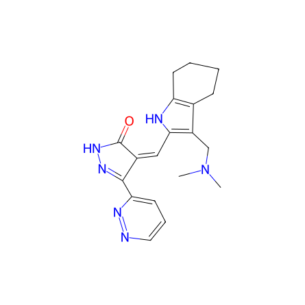 CN(C)Cc1c(C=C2C(=O)NN=C2c2cccnn2)[nH]c2c1CCCC2